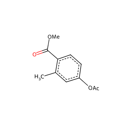 COC(=O)c1ccc(OC(C)=O)cc1C